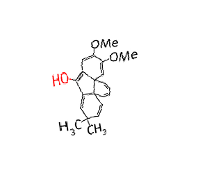 COC1=CC2=C(O)C3=CC(C)(C)C=CC34C=CC=CC24C=C1OC